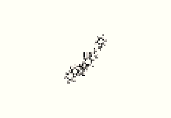 O=C(NCc1cccnc1)Nc1ccc(NS(=O)(=O)c2ccc3ccccc3c2)cc1